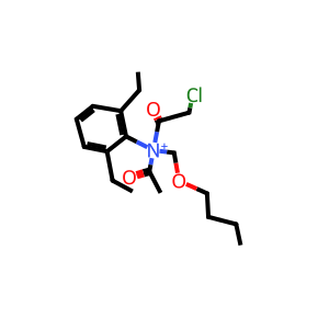 CCCCOC[N+](C(C)=O)(C(=O)CCl)c1c(CC)cccc1CC